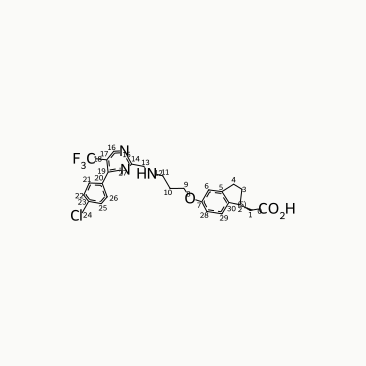 O=C(O)C[C@@H]1CCc2cc(OCCCNCc3ncc(C(F)(F)F)c(-c4ccc(Cl)cc4)n3)ccc21